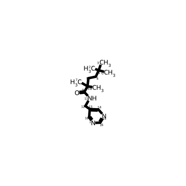 CC(C)(C)CCC(C)(C)C(=O)NCc1cncnc1